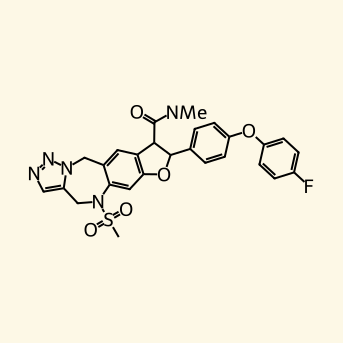 CNC(=O)C1c2cc3c(cc2OC1c1ccc(Oc2ccc(F)cc2)cc1)N(S(C)(=O)=O)Cc1cnnn1C3